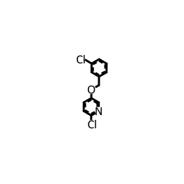 Clc1cccc(COc2ccc(Cl)nc2)c1